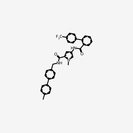 Cc1ccc(-c2ccc(CNC(=O)c3cc(NC(=O)c4ccccc4-c4ccc(C(F)(F)F)cc4)cn3C)cc2)cc1